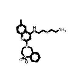 Cc1ccc2nc(N3CCS(=O)(=O)c4ccccc4C3)cc(NCCSCCN)c2c1